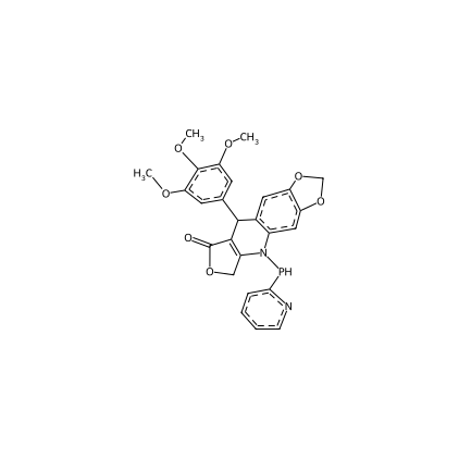 COc1cc(C2C3=C(COC3=O)N(Pc3ccccn3)c3cc4c(cc32)OCO4)cc(OC)c1OC